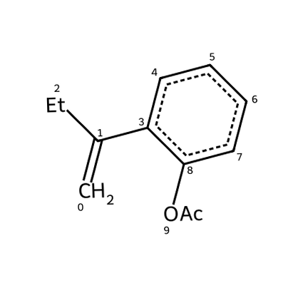 C=C(CC)c1ccccc1OC(C)=O